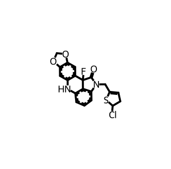 O=C1N(CC2=CCC(Cl)S2)c2cccc3c2C1(F)c1cc2c(cc1N3)OCO2